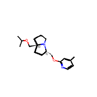 Cc1ccnc(OC[C@@H]2CC[C@]3(COC(C)C)CCCN23)c1